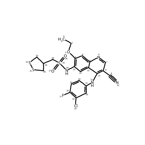 CCOc1cc2ncc(C#N)c(Nc3ccc(F)c(Cl)c3)c2cc1NS(=O)(=O)CC1CSSC1